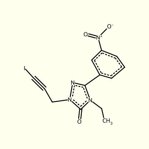 CCn1c(-c2cccc([N+](=O)[O-])c2)nn(CC#CI)c1=O